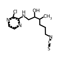 CC(CCCN=C=S)C(O)CNc1nccnc1Cl